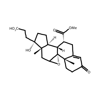 COC(=O)[C@@H]1CC2=CC(=O)CC[C@]2(C)[C@@]23OC2C[C@@]2(C)[C@@H](CC[C@]2(O)CCC(=O)O)[C@H]13